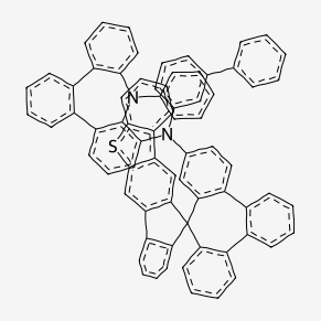 c1ccc(-c2cccc(N(c3ccc4c(c3)C3(c5ccccc5-c5ccccc5-4)c4ccccc4-c4cc5sc6ccccc6c5cc43)c3cccc4c3N(c3ccccc3)c3ccccc3-c3ccccc3-4)c2)cc1